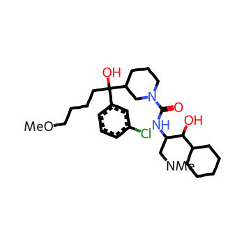 CNCC(NC(=O)N1CCCC(C(O)(CCCCOC)c2cccc(Cl)c2)C1)C(O)C1CCCCC1